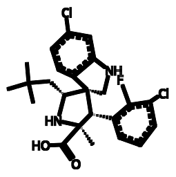 CC(C)(C)C[C@H]1N[C@](C)(C(=O)O)[C@@H](c2cccc(Cl)c2F)[C@@]12CNc1cc(Cl)ccc12